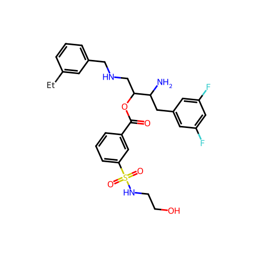 CCc1cccc(CNCC(OC(=O)c2cccc(S(=O)(=O)NCCO)c2)C(N)Cc2cc(F)cc(F)c2)c1